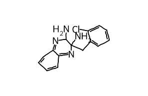 NC1N=c2ccccc2=NC1(N)Cc1ccccc1Cl